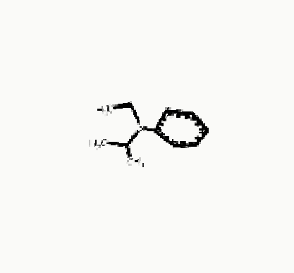 CC[Si](c1ccccc1)C(C)C